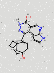 CCN1N=C(C2C3CC4(O)CC5CC2C5(C3)C4)c2c(cnc3[nH]ccc23)B1O